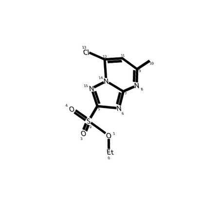 CCOS(=O)(=O)c1nc2nc(C)cc(Cl)n2n1